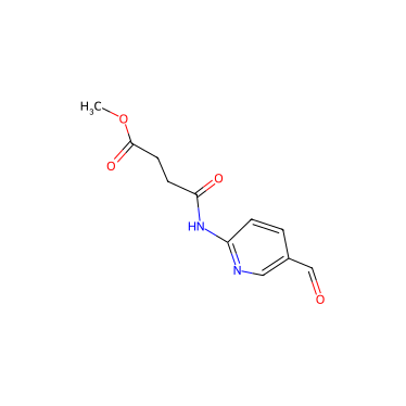 COC(=O)CCC(=O)Nc1ccc(C=O)cn1